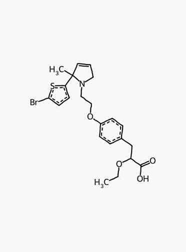 CCOC(Cc1ccc(OCCN2CC=CC2(C)c2ccc(Br)s2)cc1)C(=O)O